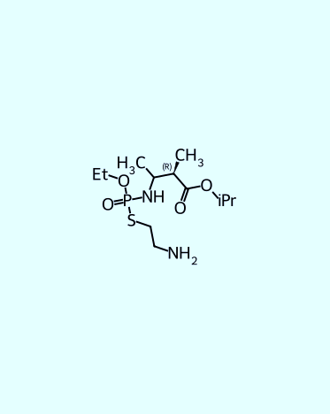 CCOP(=O)(NC(C)[C@@H](C)C(=O)OC(C)C)SCCN